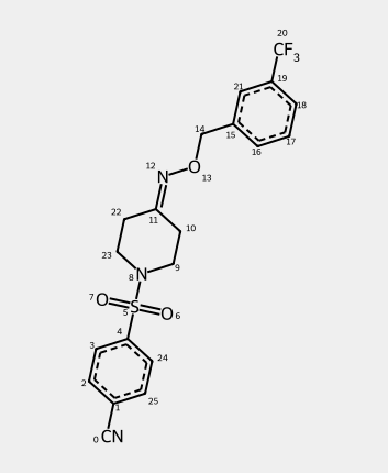 N#Cc1ccc(S(=O)(=O)N2CCC(=NOCc3cccc(C(F)(F)F)c3)CC2)cc1